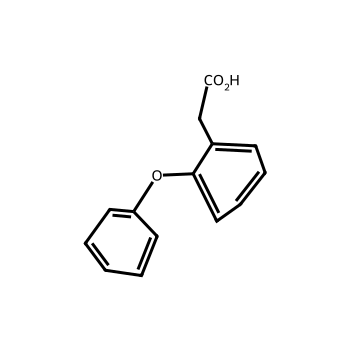 O=C(O)Cc1ccccc1Oc1ccccc1